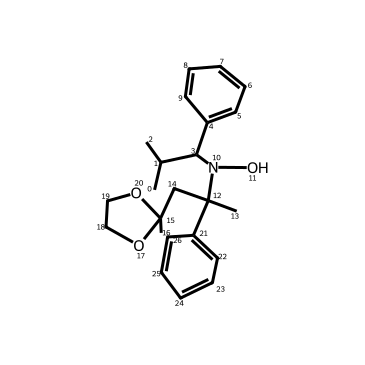 CC(C)C(c1ccccc1)N(O)C(C)(CC1(C)OCCO1)c1ccccc1